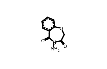 NN1C(=O)COc2ccccc2C1=O